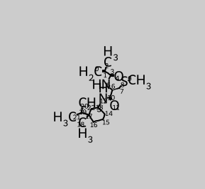 C=C(C)C(=O)N[C@@H](CSC)C(=O)NC1CCCC(C)(C(C)C)C1